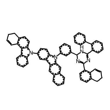 C1=Cc2c(cccc2C2=NC(c3cccc(-n4c5ccc(-n6c7ccccc7c7c8c(ccc76)CCC=C8)cc5c5cc6ccccc6cc54)c3)NC(c3ccccc3-c3ccccc3)=N2)CC1